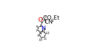 CCOC(=O)C1(C#N)OC1c1ccc2ccccc2n1